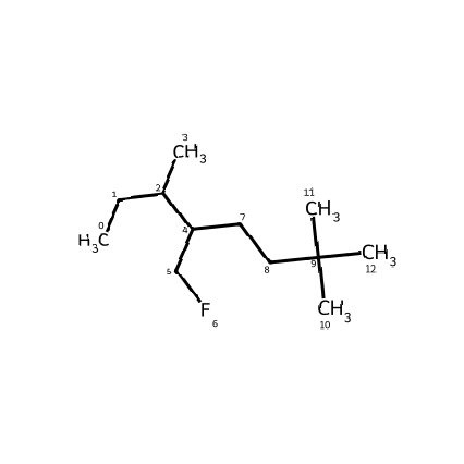 CCC(C)C(CF)CCC(C)(C)C